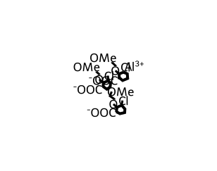 COCCOc1c(Cl)cccc1C(=O)[O-].COCCOc1c(Cl)cccc1C(=O)[O-].COCCOc1c(Cl)cccc1C(=O)[O-].[Al+3]